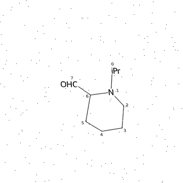 CC(C)N1CCCCC1C=O